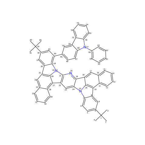 CC(C)(C)c1ccc2c(c1)c1c3ccccc3cc3c4nc5c(cc4n2c31)c1c2ccccc2cc2c3cc(C(C)(C)C)cc(-c4ccc6c(c4)c4ccccc4n6-c4ccccc4)c3n5c21